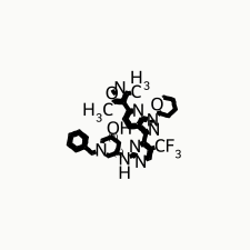 Cc1noc(C)c1-c1ccc2c(-c3nc(N[C@H]4C[C@@H](O)CN(Cc5ccccc5)C4)ncc3C(F)(F)F)nn(C3CCCCO3)c2n1